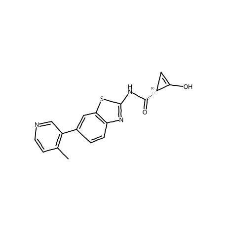 Cc1ccncc1-c1ccc2nc(NC(=O)[C@@H]3C=C3O)sc2c1